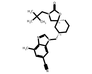 Cc1cc(C#N)cc2c1ncn2C[C@H]1CCC[C@]2(C1)CN(CC(C)(C)C)C(=O)O2